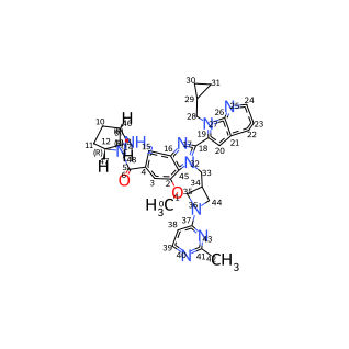 COc1cc(C(=O)N2C[C@H]3CC[C@@H]2[C@@H]3N)cc2nc(-c3cc4cccnc4n3CC3CC3)n(CC3CN(c4ccnc(C)n4)C3)c12